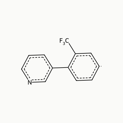 FC(F)(F)c1c[c]ccc1-c1cccnc1